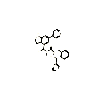 CN(C(=O)c1cc(-c2ccncc2)cc2c1CCN2)C(=O)[C@H](Cc1ccccc1)NCc1cscn1